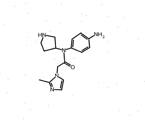 Cc1nccn1CC(=O)N(c1ccc(N)cc1)C1CCNC1